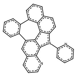 c1ccc(-n2c3ccc4cccc5c4c3c3c(cc4cccnc4c32)-c2ccccc2-5)nc1